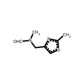 Cc1nc(CN(C)C=O)cs1